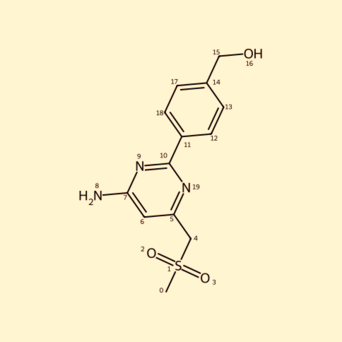 CS(=O)(=O)Cc1cc(N)nc(-c2ccc(CO)cc2)n1